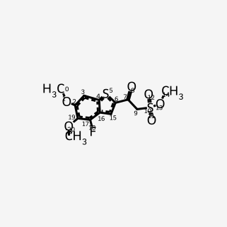 COc1cc2sc(C(=O)CS(=O)(=O)OC)cc2c(F)c1OC